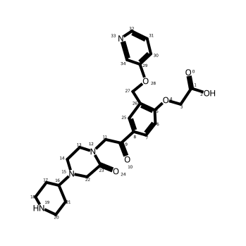 O=C(O)COc1ccc(C(=O)CN2CCN(C3CCNCC3)CC2=O)cc1COc1cccnc1